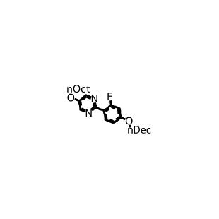 CCCCCCCCCCOc1ccc(-c2ncc(OCCCCCCCC)cn2)c(F)c1